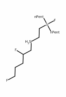 CCCCC[Si](F)(CCCCC)CC[SiH2]CC(F)CCCF